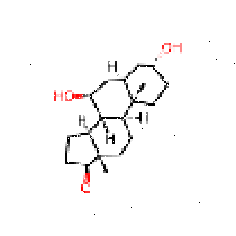 C[C@]12CC[C@@H](O)C[C@@H]1C[C@H](O)[C@@H]1[C@@H]2CC[C@]2(C)C(=O)CC[C@@H]12